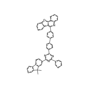 CC1(C)c2ccccc2-c2ccc(-c3nc(-c4ccccc4)nc(-c4ccc(-c5ccc(-c6nc7ccccc7c7oc8ccccc8c67)cc5)cc4)n3)cc21